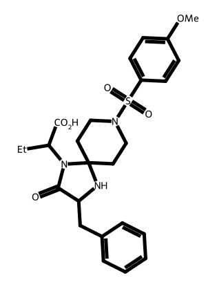 CCC(C(=O)O)N1C(=O)C(Cc2ccccc2)NC12CCN(S(=O)(=O)c1ccc(OC)cc1)CC2